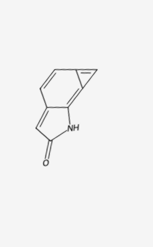 O=c1cc2ccc3cc3c2[nH]1